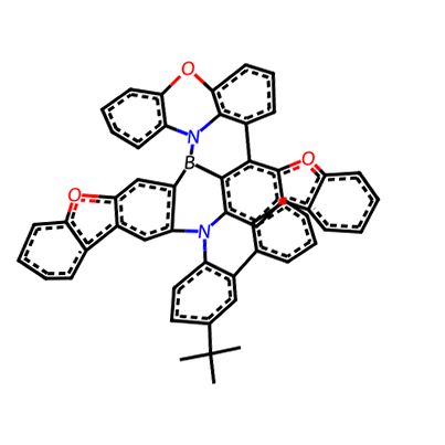 CC(C)(C)c1ccc(N2c3cc4c(cc3B3c5c2cc2c(oc6ccccc62)c5-c2cccc5c2N3c2ccccc2O5)oc2ccccc24)c(-c2ccccc2)c1